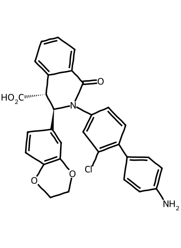 Nc1ccc(-c2ccc(N3C(=O)c4ccccc4[C@@H](C(=O)O)[C@@H]3c3ccc4c(c3)OCCO4)cc2Cl)cc1